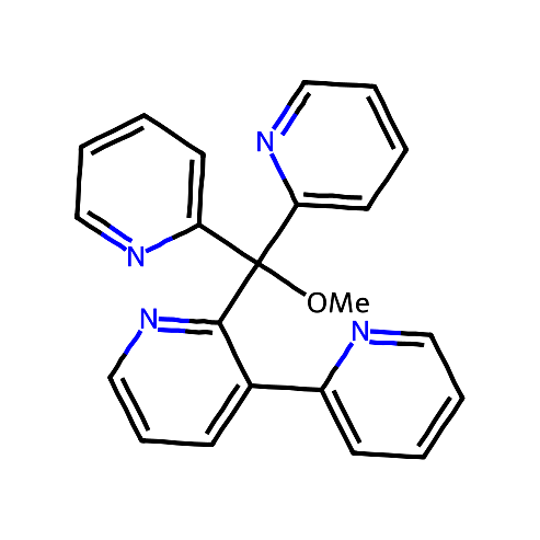 COC(c1ccccn1)(c1ccccn1)c1ncccc1-c1ccccn1